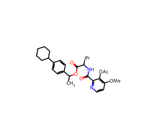 COc1ccnc(C(=O)NC(C(=O)OC(C)c2ccc(C3CCCCC3)cc2)C(C)C)c1OC(C)=O